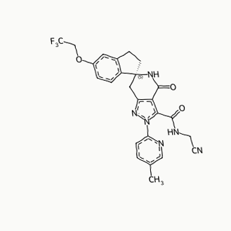 Cc1ccc(-n2nc3c(c2C(=O)NCC#N)C(=O)N[C@@]2(CCc4cc(OCC(F)(F)F)ccc42)C3)nc1